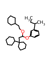 CCC(C)c1cccc(OC(CC2(C3CCCCC3)CCCCC2)OCCC2CCCCC2)c1